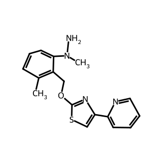 Cc1cccc(N(C)N)c1COc1nc(-c2ccccn2)cs1